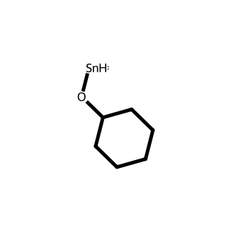 [SnH][O]C1CCCCC1